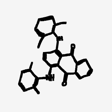 Cc1cccc(C)c1Nc1ccc(Nc2c(C)cccc2C)c2c1C(=O)c1ccccc1C2=O